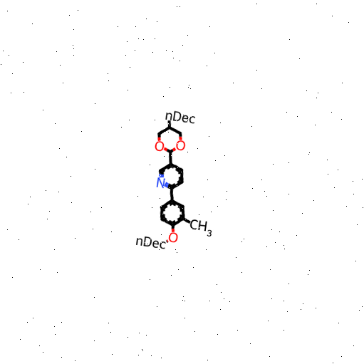 CCCCCCCCCCOc1ccc(-c2ccc(C3OCC(CCCCCCCCCC)CO3)cn2)cc1C